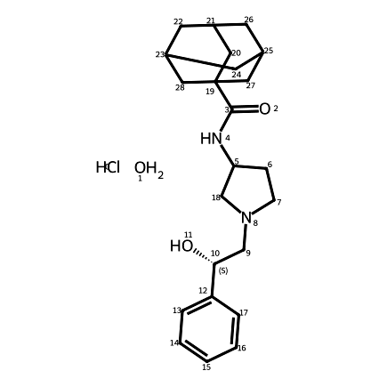 Cl.O.O=C(NC1CCN(C[C@@H](O)c2ccccc2)C1)C12CC3CC(CC(C3)C1)C2